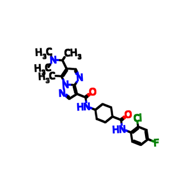 Cc1c(C(C)N(C)C)cnc2c(C(=O)NC3CCC(C(=O)Nc4ccc(F)cc4Cl)CC3)cnn12